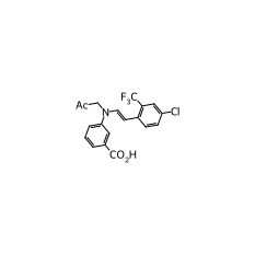 CC(=O)CN(C=Cc1ccc(Cl)cc1C(F)(F)F)c1cccc(C(=O)O)c1